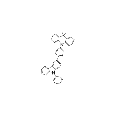 CC1(C)C2=CCCC=C2N(c2ccc(-c3ccc4c(c3)c3ccccc3n4-c3ccccc3)cc2)c2ccccc21